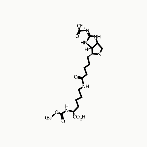 CC(C)(C)OC(=O)N[C@@H](CCCCNC(=O)CCCC[C@@H]1SCC2N/C(=N/C(=O)C(F)(F)F)N[C@@H]21)C(=O)O